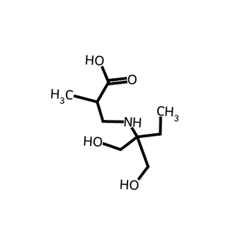 CCC(CO)(CO)NCC(C)C(=O)O